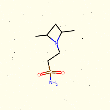 CC1CC(C)N1CCS(N)(=O)=O